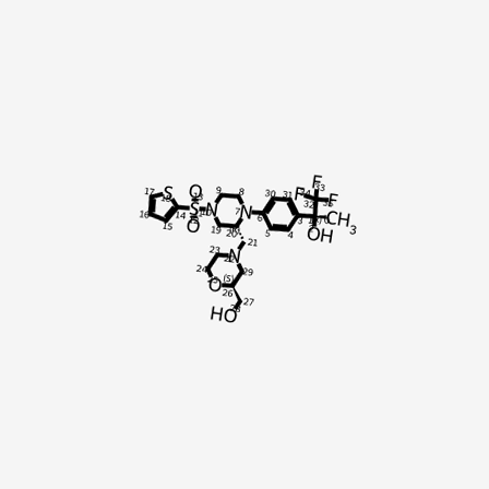 C[C@@](O)(c1ccc(N2CCN(S(=O)(=O)c3cccs3)C[C@H]2CN2CCO[C@H](CO)C2)cc1)C(F)(F)F